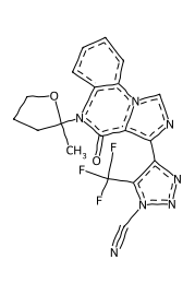 CC1(n2c(=O)c3c(-c4nnn(C#N)c4C(F)(F)F)ncn3c3ccccc32)CCCO1